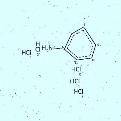 Cl.Cl.Cl.Cl.Cl.Nc1ccccc1